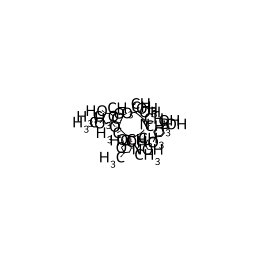 CC[C@H]1OC(=O)[C@H](C)[C@@H](O[C@H]2C[C@@](C)(OC)[C@@H](O)[C@H](C)O2)[C@H](C)[C@@H](O[C@@H]2O[C@H](C)CC(N(C)CC(O)COc3ccc(B(O)O)cc3)[C@H]2O)[C@](C)(O)C[C@@H](C)CN(C)[C@H](C)[C@@H](O)[C@]1(C)O